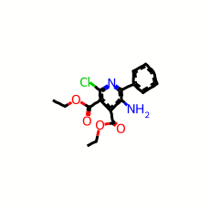 CCOC(=O)c1c(Cl)nc(-c2ccccc2)c(N)c1C(=O)OCC